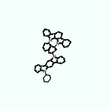 c1ccc(-n2c3ccccc3c3ccc4c5ccccc5n(-c5cccc(-n6c7ccccc7c7cc8c(cc76)c6ccccc6n8C6CCCCC6)c5)c4c32)cc1